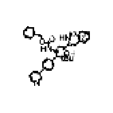 CC(C)(C)C(c1ccc(-c2cccnc2)cc1)[C@H](C[C@@H](O)[C@H](Cc1ccccc1)NC(=O)O)NC(=O)OCc1ccccc1